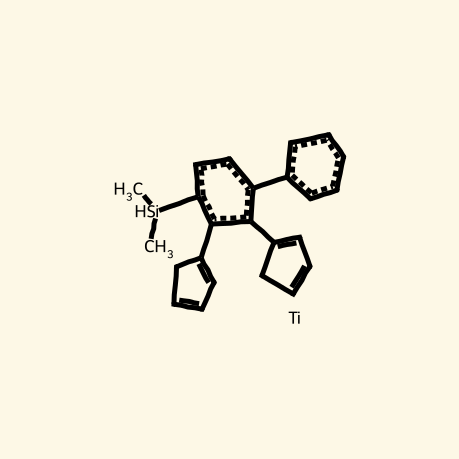 C[SiH](C)c1ccc(-c2ccccc2)c(C2=CC=CC2)c1C1=CC=CC1.[Ti]